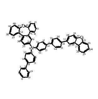 c1ccc(-c2ccc(N(c3ccc(-c4ccc(-c5ccc6oc7ccccc7c6c5)cc4)cc3)c3ccc4c(c3)-c3ccccc3Oc3ccccc3-4)cc2)cc1